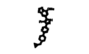 COc1cc(-c2[nH]nc(-c3cnc(C4CCN(CC5CC5)CC4)cn3)c2C(C)C)cn2ncnc12